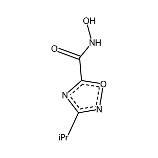 CC(C)c1noc(C(=O)NO)n1